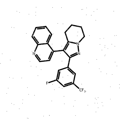 Fc1cc(-c2nn3c(c2-c2ccnc4ccccc24)CCCC3)cc(C(F)(F)F)c1